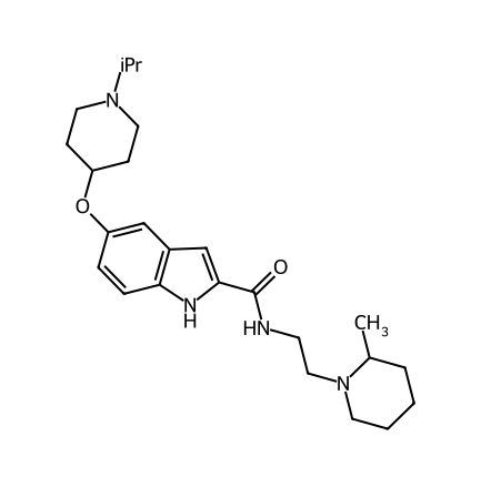 CC(C)N1CCC(Oc2ccc3[nH]c(C(=O)NCCN4CCCCC4C)cc3c2)CC1